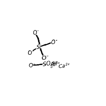 O=S(=O)([O-])O.[Al+3].[Ca+2].[O-][Si]([O-])([O-])[O-]